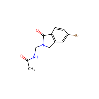 CC(=O)NCN1Cc2cc(Br)ccc2C1=O